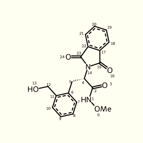 CONC(=O)[C@H](Cc1ccccc1CO)N1C(=O)c2ccccc2C1=O